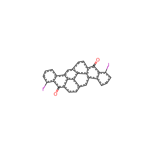 O=c1c2ccc3cc4c5cccc(I)c5c(=O)c5ccc6cc(c7cccc(I)c17)c2c3c6c54